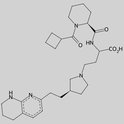 O=C(O)C(CCN1CC[C@@H](CCc2ccc3c(n2)NCCC3)C1)NC(=O)[C@@H]1CCCCN1C(=O)C1CCC1